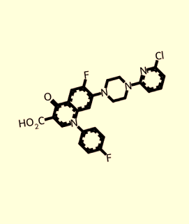 O=C(O)c1cn(-c2ccc(F)cc2)c2cc(N3CCN(c4cccc(Cl)n4)CC3)c(F)cc2c1=O